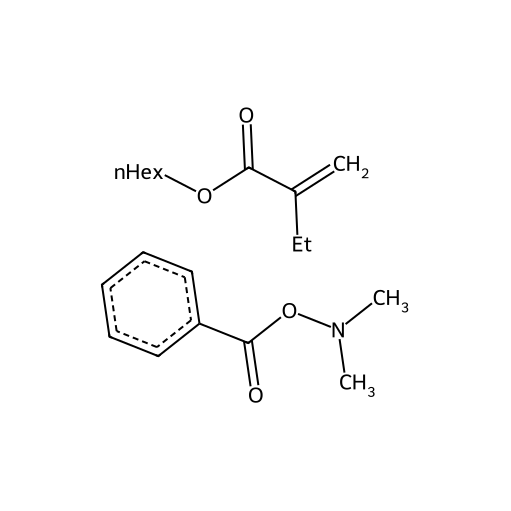 C=C(CC)C(=O)OCCCCCC.CN(C)OC(=O)c1ccccc1